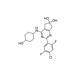 OC1CCC(Nc2nc(-c3cc(F)c(Cl)cc3F)nc3c2CS(O)(O)C3)CC1